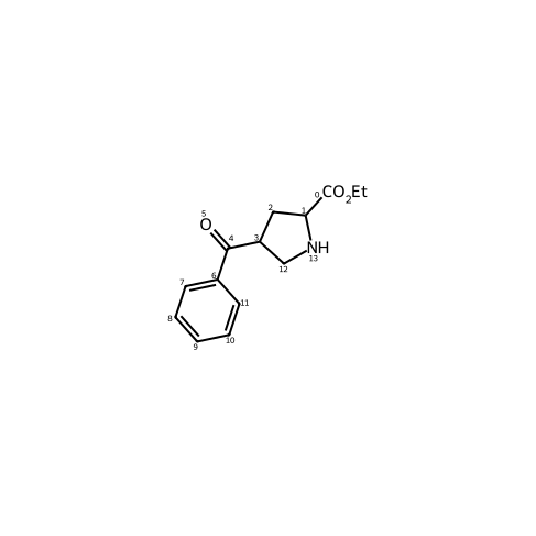 CCOC(=O)C1CC(C(=O)c2ccccc2)CN1